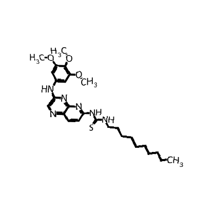 CCCCCCCCCCNC(=S)Nc1ccc2ncc(Nc3cc(OC)c(OC)c(OC)c3)nc2n1